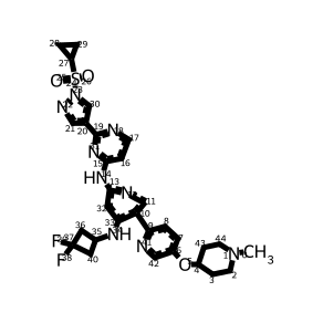 CN1CCC(Oc2ccc(-c3cnc(Nc4ccnc(-c5cnn(S(=O)(=O)C6CC6)c5)n4)cc3NC3CC(F)(F)C3)nc2)CC1